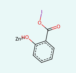 O=C(OI)c1ccccc1O.[Zn+2]